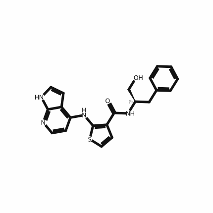 O=C(N[C@@H](CO)Cc1ccccc1)c1ccsc1Nc1ccnc2[nH]ccc12